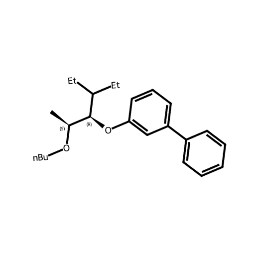 CCCCO[C@@H](C)[C@H](Oc1cccc(-c2ccccc2)c1)C(CC)CC